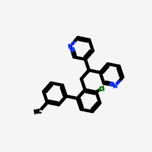 N#Cc1cccc(-c2cccc(Cl)c2CC(c2cccnc2)c2cccnc2)c1